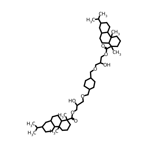 CC(C)C1CCC2C(CCC3C(C)(C(=O)OCC(O)COCC4CCC(COCC(O)COC(=O)C5(C)CCCC6(C)C7CCC(C(C)C)CC7CCC56)CC4)CCCC23C)C1